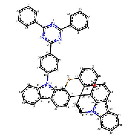 c1ccc(-c2nc(-c3ccccc3)nc(-c3ccc(-n4c5ccccc5c5ccc6c(c54)Sc4ccccc4C64c5ccccc5-n5c6ccccc6c6cccc4c65)cc3)n2)cc1